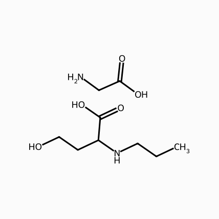 CCCNC(CCO)C(=O)O.NCC(=O)O